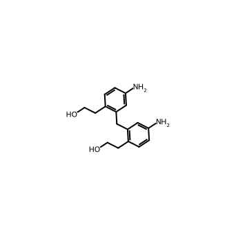 Nc1ccc(CCO)c(Cc2cc(N)ccc2CCO)c1